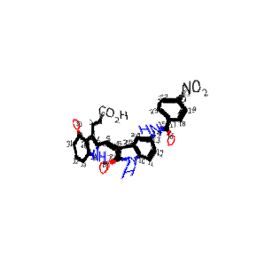 O=C(O)CCc1c(/C=C2\C(=O)Nc3ccc(NC(=O)c4ccc([N+](=O)[O-])cc4)cc32)[nH]c2c1C(=O)CCC2